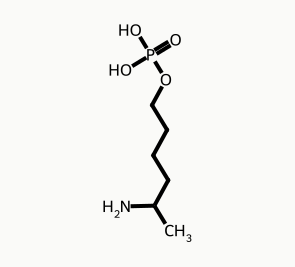 CC(N)CCCCOP(=O)(O)O